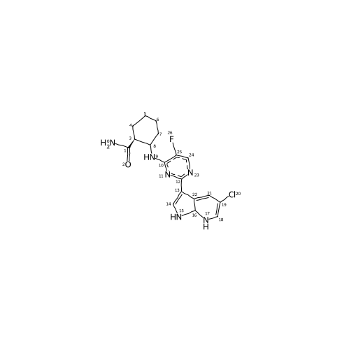 NC(=O)[C@H]1CCCCC1Nc1nc(C2=CNC3NC=C(Cl)C=C23)ncc1F